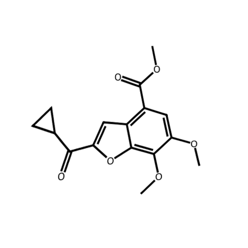 COC(=O)c1cc(OC)c(OC)c2oc(C(=O)C3CC3)cc12